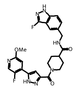 COc1cc(-c2cc(C(=O)N3CCC(C(=O)NCc4ccc5[nH]nc(F)c5c4)CC3)n[nH]2)c(F)cn1